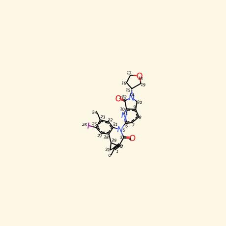 CC#CC(=O)N(c1ccc2c(n1)C(=O)N([C@H]1CCOC1)C2)c1cc(C)c(I)cc1C1CC1